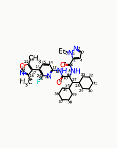 CCn1nccc1C(=O)N[C@H](C(=O)Nc1ccc(-c2c(C)noc2C)c(F)n1)C(C1CCCCC1)C1CCCCC1